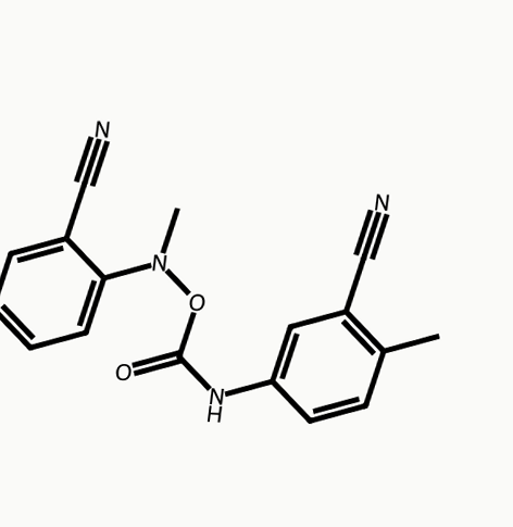 Cc1ccc(NC(=O)ON(C)c2ccccc2C#N)cc1C#N